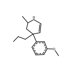 CCCC1(c2cccc(OC)c2)C=CNC(C)C1